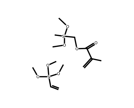 C=C(C)C(=O)OC[Si](C)(OC)OC.C=C[Si](OC)(OC)OC